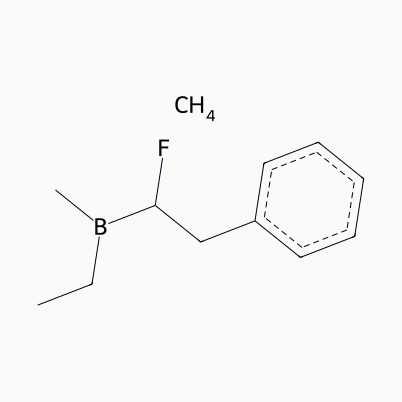 C.CCB(C)C(F)Cc1ccccc1